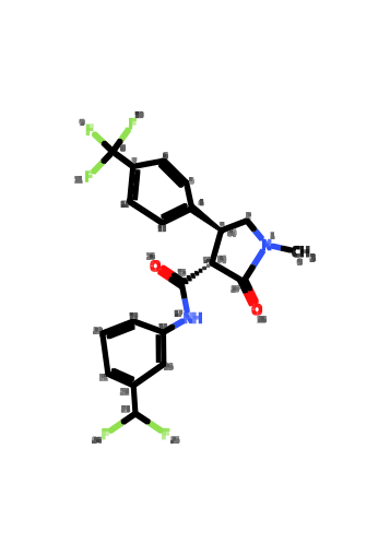 CN1C[C@H](c2ccc(C(F)(F)F)cc2)[C@@H](C(=O)Nc2cccc(C(F)F)c2)C1=O